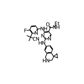 CCNC(=O)c1cnc(Nc2ccc3c(c2)CNCC32CC2)nc1Nc1ccc(F)c(C(C)(C)C#N)n1